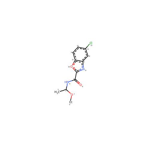 CCOC(C)NC(=O)c1nc2cc(Cl)ccc2o1